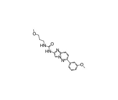 COCCCNC(=O)Nc1cn2nc(-c3cccc(OC)c3)ccc2n1